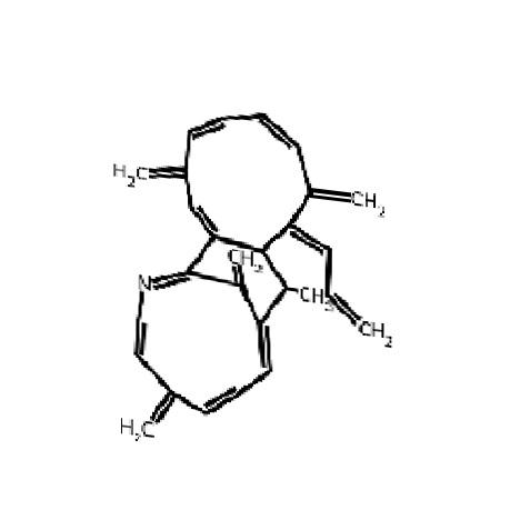 C=C/C=C1/C(=C)/C=C\C=C/C(=C)/C=C2/c3nccc(=C)cccc(c3=C)C(C)C12